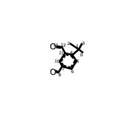 CC(C)(C)c1ccc(C=O)cc1C=O